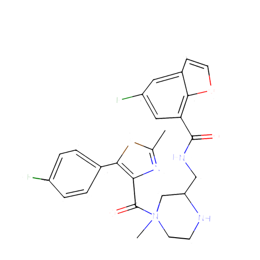 Cc1nc(C(=O)[N+]2(C)CCNC(CNC(=O)c3cc(F)cc4ccoc34)C2)c(-c2ccc(F)cc2)s1